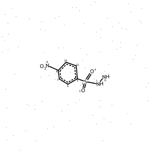 [NH]NS(=O)(=O)c1ccc([N+](=O)[O-])cc1